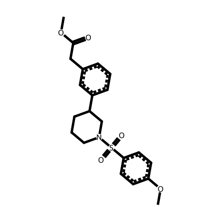 COC(=O)Cc1cccc(C2CCCN(S(=O)(=O)c3ccc(OC)cc3)C2)c1